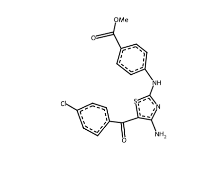 COC(=O)c1ccc(Nc2nc(N)c(C(=O)c3ccc(Cl)cc3)s2)cc1